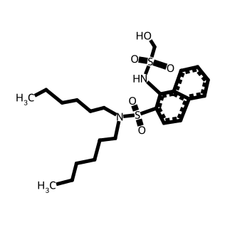 CCCCCCN(CCCCCC)S(=O)(=O)c1ccc2ccccc2c1NS(=O)(=O)CO